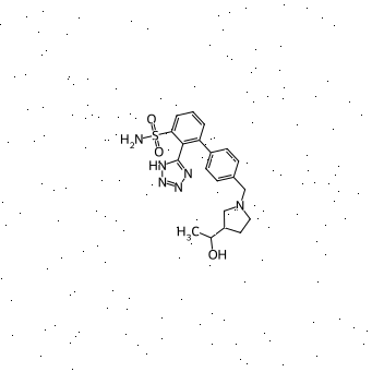 CC(O)C1CCN(Cc2ccc(-c3cccc(S(N)(=O)=O)c3-c3nnn[nH]3)cc2)C1